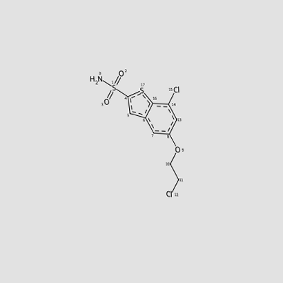 NS(=O)(=O)c1cc2cc(OCCCl)cc(Cl)c2s1